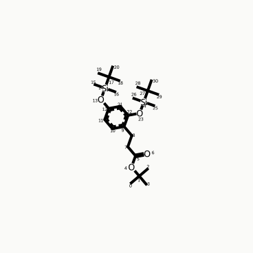 CC(C)(C)OC(=O)CCc1ccc(O[Si](C)(C)C(C)(C)C)cc1O[Si](C)(C)C(C)(C)C